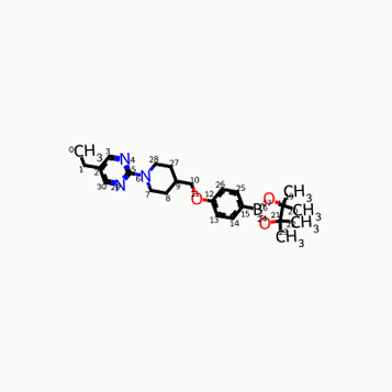 CCc1cnc(N2CCC(COc3ccc(B4OC(C)(C)C(C)(C)O4)cc3)CC2)nc1